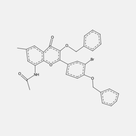 CC(=O)Nc1cc(C)cc2c(=O)c(OCc3ccccc3)c(-c3ccc(OCc4ccccc4)c(Br)c3)oc12